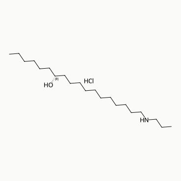 CCCCCC[C@@H](O)CCCCCCCCCCCNCCC.Cl